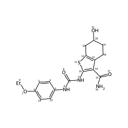 CCOc1ccc(NC(=O)Nc2sc3c(c2C(N)=O)CCC(O)C3)cc1